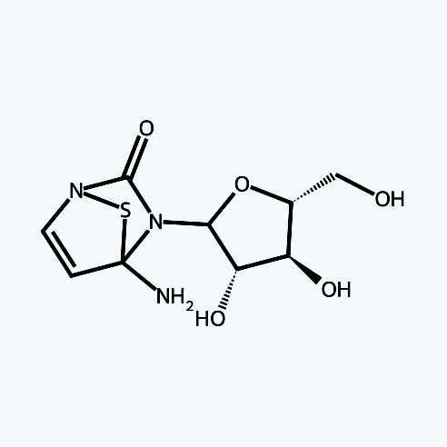 NC12C=CN(S1)C(=O)N2C1O[C@H](CO)[C@@H](O)[C@@H]1O